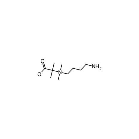 CC(C)(C(=O)[O-])[N+](C)(C)CCCCN